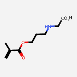 C=C(C)C(=O)OCCCNCC(=O)O